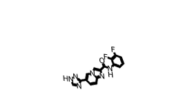 O=C(Nc1cccc(F)c1F)c1cn2cc(-c3nc[nH]n3)ccc2n1